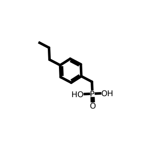 CCCc1ccc(CP(=O)(O)O)cc1